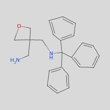 NCC1(CNC(c2ccccc2)(c2ccccc2)c2ccccc2)COC1